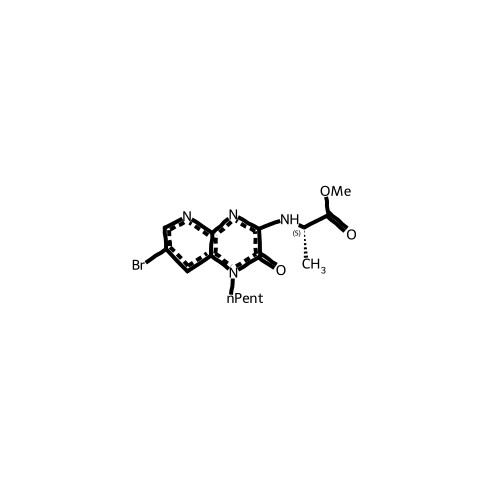 CCCCCn1c(=O)c(N[C@@H](C)C(=O)OC)nc2ncc(Br)cc21